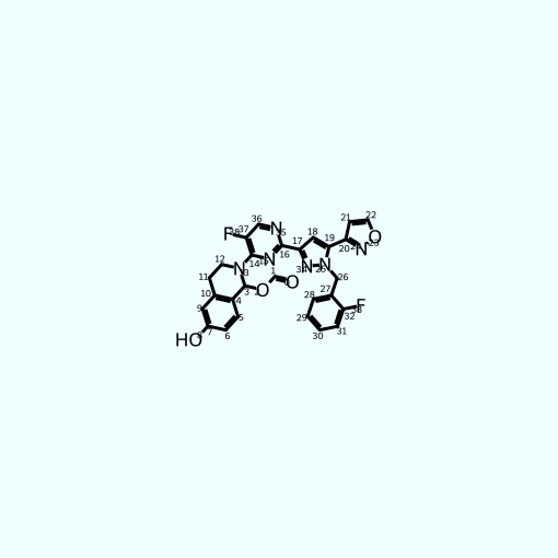 O=COC1c2ccc(O)cc2CCN1c1nc(-c2cc(-c3ccon3)n(Cc3ccccc3F)n2)ncc1F